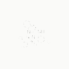 COc1cc(Nc2nc3ccccc3nc2NS(=O)(=O)c2ccsc2Cl)cc(OC)c1